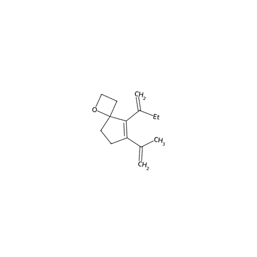 C=C(C)C1=C(C(=C)CC)C2(CCO2)CC1